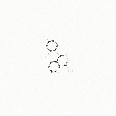 Cc1ccc2c(-c3ccc(C(F)(F)F)cc3O)nnc(N)c2n1